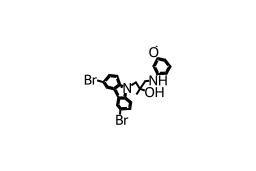 COc1cccc(NCC(C)(O)Cn2c3ccc(Br)cc3c3cc(Br)ccc32)c1